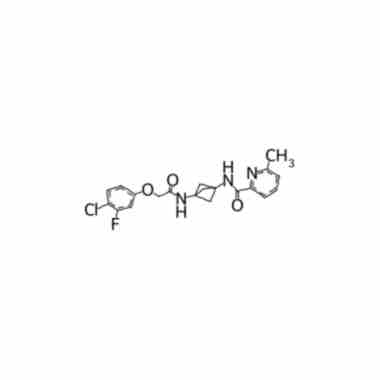 Cc1cccc(C(=O)NC23CC(NC(=O)COc4ccc(Cl)c(F)c4)(C2)C3)n1